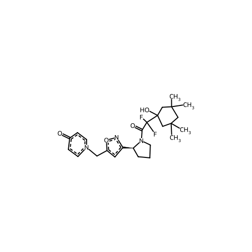 CC1(C)CC(C)(C)CC(O)(C(F)(F)C(=O)N2CCC[C@H]2c2cc(Cn3ccc(=O)cc3)on2)C1